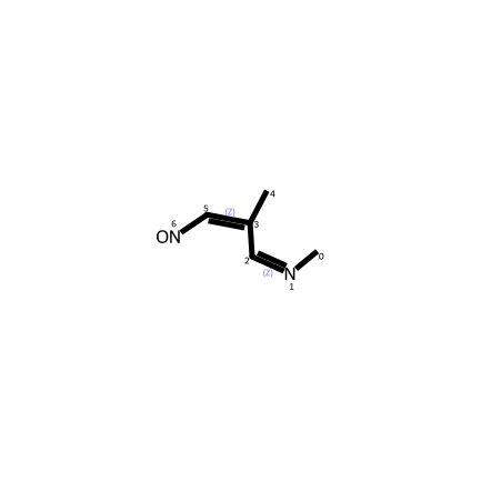 C/N=C\C(C)=C/N=O